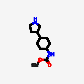 CC(C)(C)OC(=O)NC1CCC(C2CCNC2)CC1